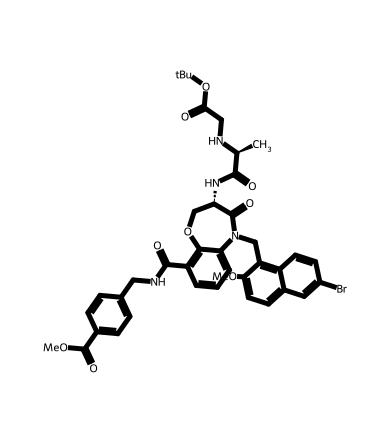 COC(=O)c1ccc(CNC(=O)c2cccc3c2OC[C@H](NC(=O)[C@H](C)NCC(=O)OC(C)(C)C)C(=O)N3Cc2c(OC)ccc3cc(Br)ccc23)cc1